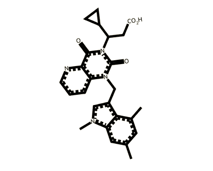 Cc1cc(C)c2c(Cn3c(=O)n(C(CC(=O)O)C4CC4)c(=O)c4ncccc43)cn(C)c2c1